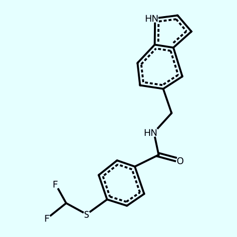 O=C(NCc1ccc2[nH]ccc2c1)c1ccc(SC(F)F)cc1